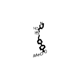 COC(=O)c1ccc(-c2ccc(CCNC[C@H](O)c3cccnc3)cc2)cc1